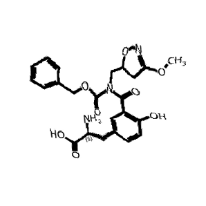 COC1=NOC(CN(C(=O)OCc2ccccc2)C(=O)c2cc(C[C@H](N)C(=O)O)ccc2O)C1